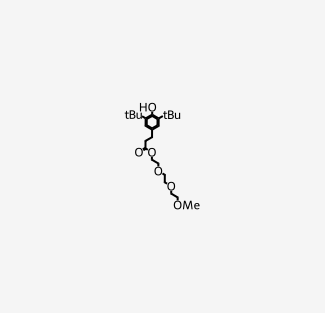 COCCOCCOCCOC(=O)CCc1cc(C(C)(C)C)c(O)c(C(C)(C)C)c1